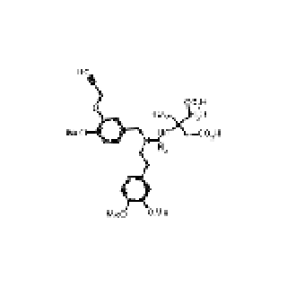 C#CCOc1cc(CN(C)CCc2ccc(OC)c(OC)c2)ccc1OC.O.O=C(O)CC(O)(CC(=O)O)C(=O)O